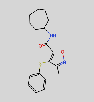 Cc1noc(C(=O)NC2CCCCCC2)c1Sc1ccccc1